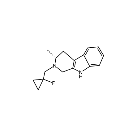 C[C@@H]1Cc2c([nH]c3ccccc23)CN1CC1(F)CC1